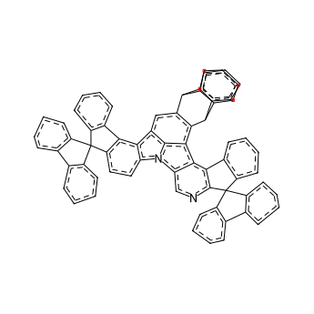 c1ccc2c(c1)-c1ccccc1C21c2ccccc2-c2c1ccc1c2c2cc3c(c4c5c6c(ncc5n1c24)C1(c2ccccc2-c2ccccc21)c1ccccc1-6)C1c2ccccc2C3c2ccccc21